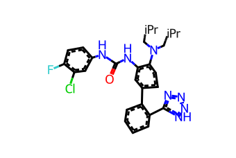 CC(C)CN(CC(C)C)c1ccc(-c2ccccc2-c2nnn[nH]2)cc1NC(=O)Nc1ccc(F)c(Cl)c1